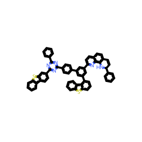 C1=CC(c2ccccc2)Nc2c1ccc1ccc(-c3cc(-c4ccc(-c5nc(-c6ccccc6)nc(-c6ccc7c(c6)sc6ccccc67)n5)cc4)cc(-c4cccc5sc6ccccc6c45)c3)nc21